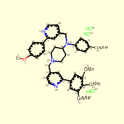 CCOc1ccc(-c2cc(CN(c3ccc(OC)cc3)C3CCN(Cc4ccnc(-c5cc(OC)c(OC)c(OC)c5)c4)CC3)ccn2)cc1.Cl.Cl.Cl